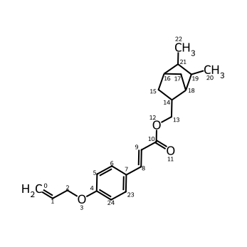 C=CCOc1ccc(/C=C/C(=O)OCC2CC3CC2C(C)C3C)cc1